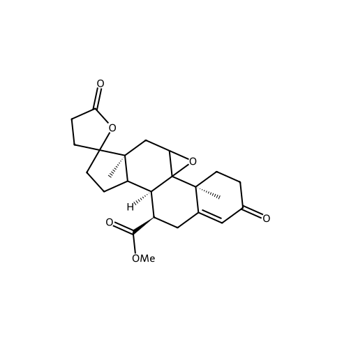 COC(=O)[C@@H]1CC2=CC(=O)CC[C@]2(C)C23OC2C[C@@]2(C)C(CCC24CCC(=O)O4)[C@H]13